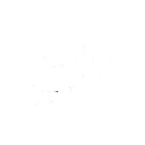 CC[C@@]1(O)C(=O)OCc2c1c(N)c1n(c2=O)Cc2c-1nc1ccccc1c2CO